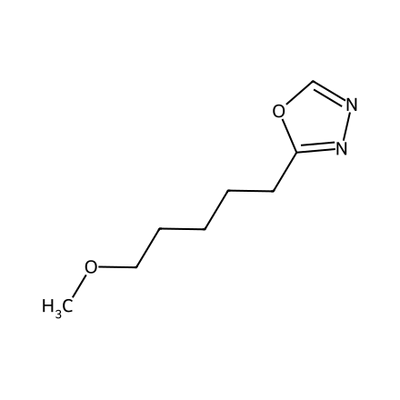 COCCCCCc1nnco1